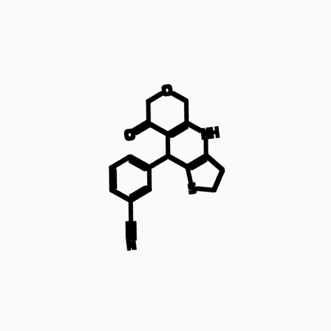 N#Cc1cccc(C2C3=C(CCS3)NC3=C2C(=O)COC3)c1